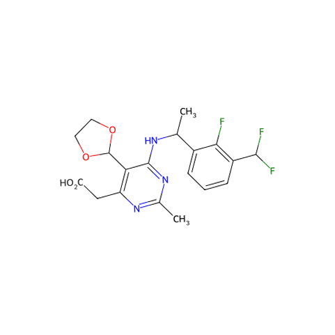 Cc1nc(CC(=O)O)c(C2OCCO2)c(NC(C)c2cccc(C(F)F)c2F)n1